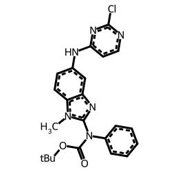 Cn1c(N(C(=O)OC(C)(C)C)c2ccccc2)nc2cc(Nc3ccnc(Cl)n3)ccc21